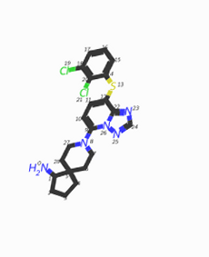 NC1CCCC12CCN(c1ccc(Sc3cccc(Cl)c3Cl)c3ncnn13)CC2